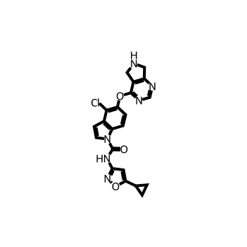 O=C(Nc1cc(C2CC2)on1)n1ccc2c(Cl)c(Oc3ncnc4c3CNC4)ccc21